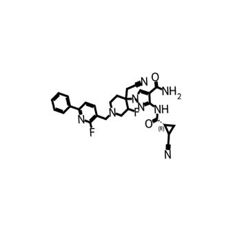 N#CCC1(n2cc(C(N)=O)c(NC(=O)[C@@H]3CC3C#N)n2)CCN(Cc2ccc(-c3ccccc3)nc2F)CC1F